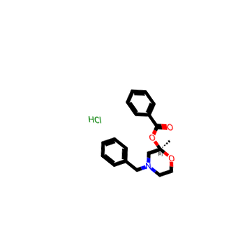 C[C@@]1(OC(=O)c2ccccc2)CN(Cc2ccccc2)CCO1.Cl